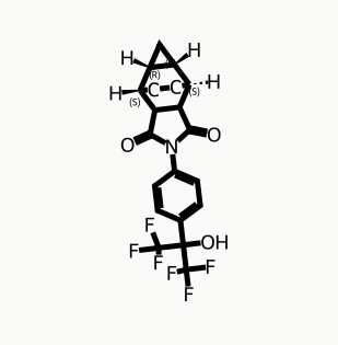 O=C1C2C(C(=O)N1c1ccc(C(O)(C(F)(F)F)C(F)(F)F)cc1)[C@H]1CC[C@H]2[C@@H]2C[C@@H]21